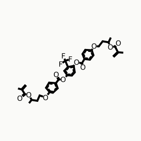 C=C(C)C(=O)OC(C)CCOc1ccc(C(=O)Oc2ccc(OC(=O)c3ccc(OCCC(C)OC(=O)C(=C)C)cc3)c(C(F)(F)F)c2)cc1